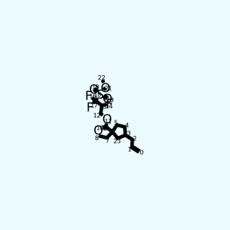 C=CCC1CCC(CC)(C(=O)OCC(F)C(F)(F)S(=O)(=O)OC)C1